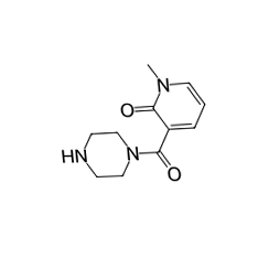 Cn1cccc(C(=O)N2CCNCC2)c1=O